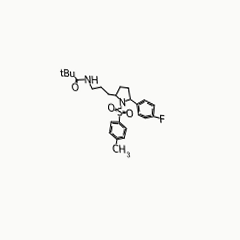 Cc1ccc(S(=O)(=O)N2C(CCCNC(=O)C(C)(C)C)CCC2c2ccc(F)cc2)cc1